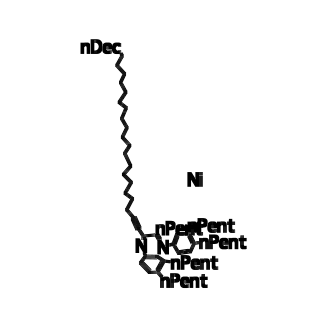 CCCCCCCCCCCCCCCCCCCCCCCCCCCCC#CC(=Nc1ccc(CCCCC)c(CCCCC)c1)C(CCCCC)=Nc1ccc(CCCCC)c(CCCCC)c1.[Ni]